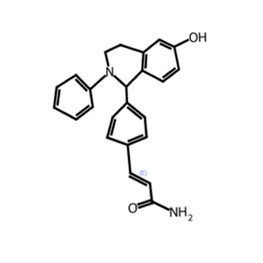 NC(=O)/C=C/c1ccc(C2c3ccc(O)cc3CCN2c2ccccc2)cc1